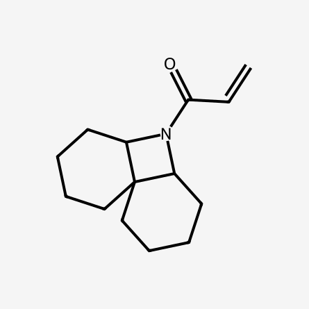 C=CC(=O)N1C2CCCCC23CCCCC13